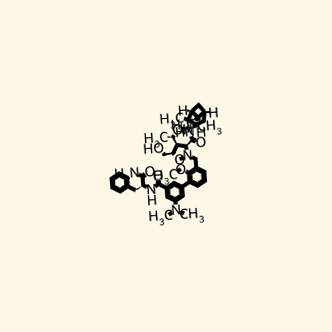 COc1c(CN2O[C@@H](CO)[C@@H]([C@H](C)O)[C@H]2C(=O)N[C@H]2C[C@H]3C[C@@H]([C@@H]2C)C3(C)C)cccc1-c1cc(C(=O)N[C@H](Cc2ccccc2)C(N)=O)cc(N(C)C)c1